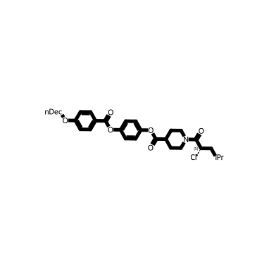 CCCCCCCCCCOc1ccc(C(=O)Oc2ccc(OC(=O)C3CCN(C(=O)[C@@H](Cl)CC(C)C)CC3)cc2)cc1